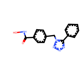 O=C(NO)c1ccc(Cn2nnnc2-c2ccccc2)cc1